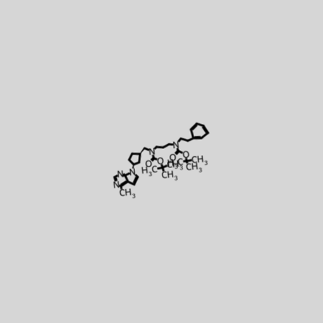 Cc1ncnc2c1ccn2[C@H]1CC[C@@H](CN(CCCN(CCc2ccccc2)C(=O)OC(C)(C)C)C(=O)OC(C)(C)C)C1